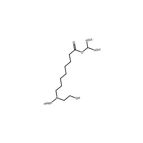 [CH2]CCCCCCN(CCO)CCCCCCCC(=O)OC(CCCCCCCC)CCCCCCCC